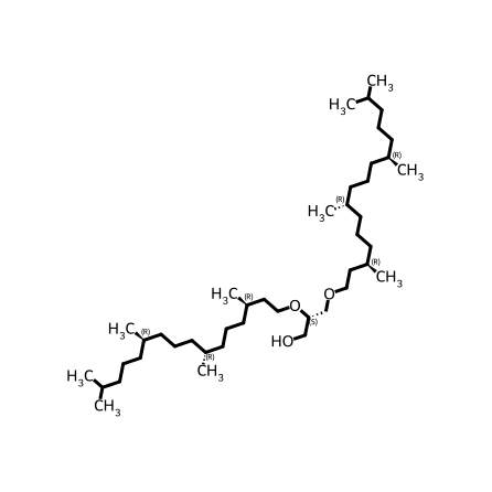 CC(C)CCC[C@@H](C)CCC[C@@H](C)CCC[C@@H](C)CCOC[C@H](CO)OCC[C@H](C)CCC[C@H](C)CCC[C@H](C)CCCC(C)C